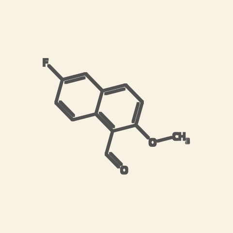 COc1ccc2cc(F)ccc2c1C=O